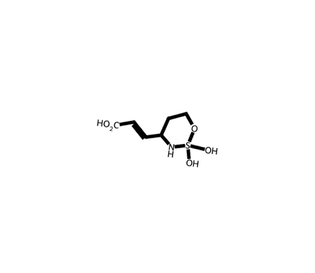 O=C(O)C=CC1CCOS(O)(O)N1